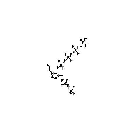 C=CCn1cc[n+](C)c1.F[B-](F)(F)F.F[B-](F)(F)F.F[B-](F)(F)F.F[B-](F)(F)F.F[B-](F)(F)F.F[B-](F)(F)F